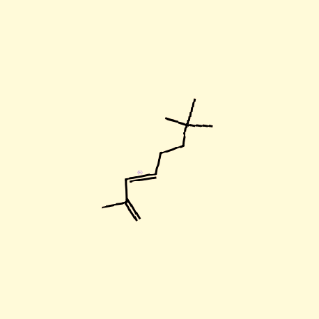 C=C(C)/C=C/CCC(C)(C)C